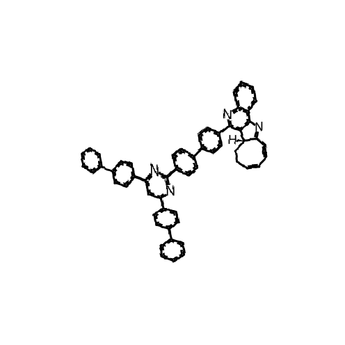 C1=C\CC[C@H]2C(=Nc3c2c(-c2ccc(-c4ccc(-c5nc(-c6ccc(-c7ccccc7)cc6)cc(-c6ccc(-c7ccccc7)cc6)n5)cc4)cc2)nc2ccccc32)\C=C/1